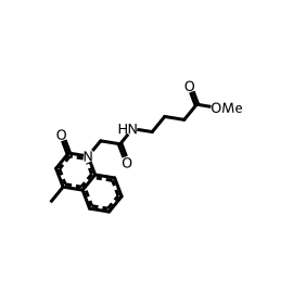 COC(=O)CCCNC(=O)Cn1c(=O)cc(C)c2ccccc21